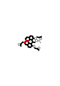 CCC(c1c(OCC2CO2)ccc2ccccc12)c1c(OCC2CO2)ccc2ccc(OCC3CO3)cc12